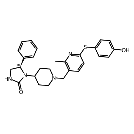 Cc1nc(Sc2ccc(O)cc2)ccc1CN1CCC(N2C(=O)NC[C@H]2c2ccccc2)CC1